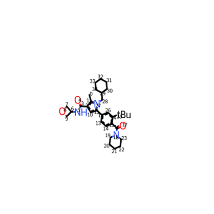 Cc1c(C(=O)NC2COC2)cc(-c2ccc(C(=O)N3CCCCC3)c(C(C)(C)C)c2)n1CC1CCCCC1